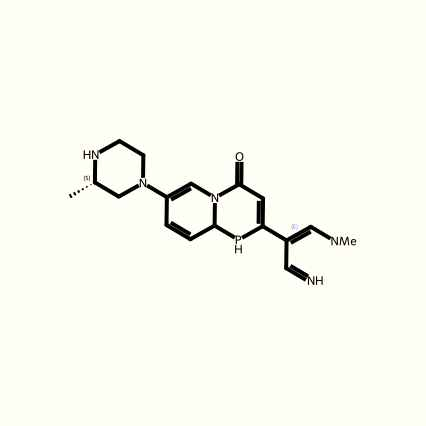 CN/C=C(\C=N)C1=CC(=O)N2C=C(N3CCN[C@@H](C)C3)C=CC2P1